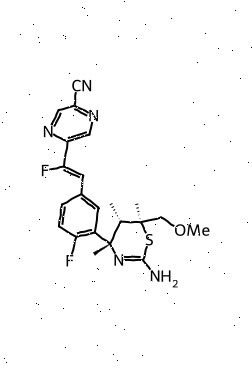 COC[C@@]1(C)SC(N)=N[C@](C)(c2cc(/C=C(\F)c3cnc(C#N)cn3)ccc2F)[C@@H]1C